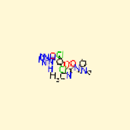 Cc1cc(Oc2cc(Cl)c(C(=O)Nc3nnn[nH]3)cc2Cl)c(C(=O)N2CCN(C3CC3)c3ccccc32)cn1